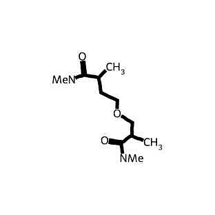 CNC(=O)C(C)CCOCC(C)C(=O)NC